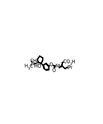 CC(C)CC(CNC(=O)Oc1cccc([C@@]2(O)CCCC[C@@H]2CN(C)C)c1)CC(=O)O